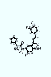 N[C@@H](C(=O)Nc1cc2c(C=Cc3ccc(F)c(F)c3)n[nH]c2cc1F)c1cccs1